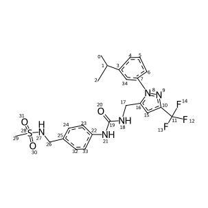 CC(C)c1cccc(-n2nc(C(F)(F)F)cc2CNC(=O)Nc2ccc(CNS(C)(=O)=O)cc2)c1